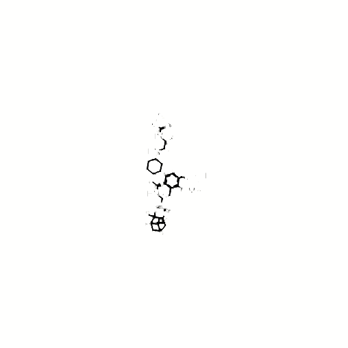 COc1c(C[C@H](NC(=O)C[C@H]2CC[C@H](NC[C@H](C)NC(=O)OC(C)(C)C)CC2)B2OC3CC4CC(C4(C)C)C3(C)O2)cccc1C(=O)O